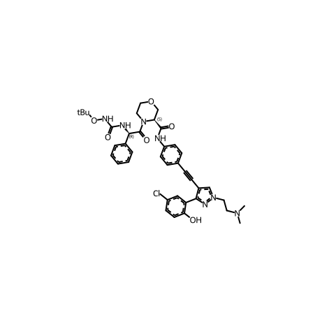 CN(C)CCn1cc(C#Cc2ccc(NC(=O)[C@@H]3COCCN3C(=O)[C@H](NC(=O)NOC(C)(C)C)c3ccccc3)cc2)c(-c2cc(Cl)ccc2O)n1